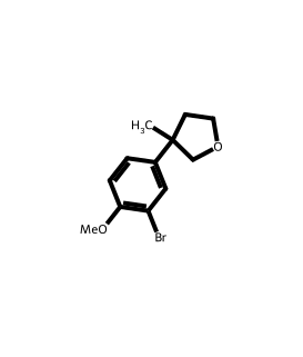 COc1ccc(C2(C)CCOC2)cc1Br